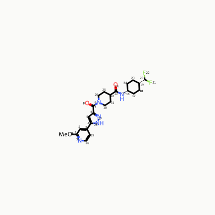 COc1cc(-c2cc(C(=O)N3CCC(C(=O)N[C@H]4CC[C@@H](C(F)F)CC4)CC3)n[nH]2)ccn1